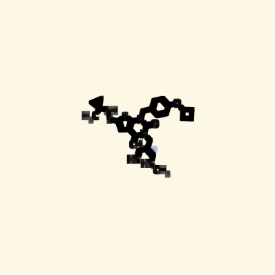 C=C1c2cc(SNC3(C)CC3)sc2N(Cc2ccc(OC3CCC3)cc2)C(=O)N1C/C(C=N)=C/NC